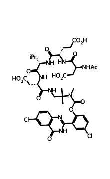 CC(=O)N[C@@H](CC(=O)O)C(=O)N[C@@H](CCC(=O)O)C(=O)N[C@H](C(=O)N[C@@H](CC(=O)O)C(=O)NCC(C)(C)N(C)C(=O)Oc1ccc(Cl)cc1-c1nc2ccc(Cl)cc2c(=O)[nH]1)C(C)C